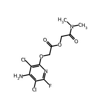 CN(C)C(=O)COC(=O)COc1nc(F)c(Cl)c(N)c1Cl